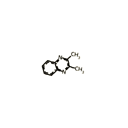 Cc1nc2ccccc2nc1C